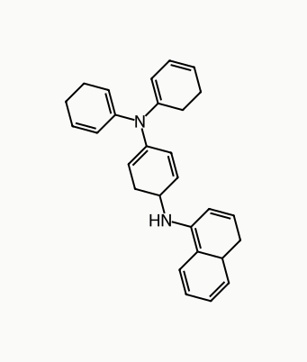 C1=CCCC(N(C2=CCCC=C2)C2=CCC(NC3=C4C=CC=CC4CC=C3)C=C2)=C1